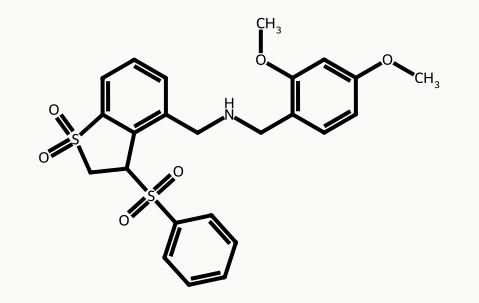 COc1ccc(CNCc2cccc3c2C(S(=O)(=O)c2ccccc2)CS3(=O)=O)c(OC)c1